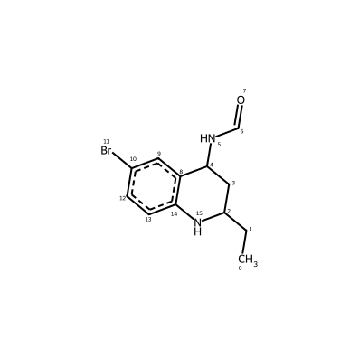 CCC1CC(NC=O)c2cc(Br)ccc2N1